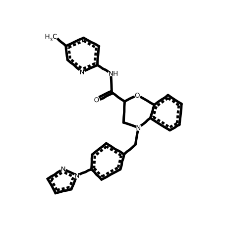 Cc1ccc(NC(=O)C2CN(Cc3ccc(-n4cccn4)cc3)c3ccccc3O2)nc1